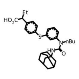 CCCCN(C(=O)NC12CC3CC(CC(C3)C1)C2)c1cccc(Sc2ccc(C(CC)C(=O)O)cc2)c1